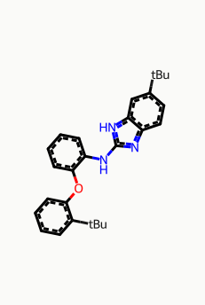 CC(C)(C)c1ccc2nc(Nc3ccccc3Oc3ccccc3C(C)(C)C)[nH]c2c1